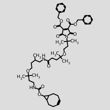 CC(CCOC(C)(C)CCNC(=O)OC1C2CCC#CCCC21)CNC(=O)CCC(C)(C)OCCC(C)(C)N1C(=O)C(C(=O)OCc2ccccc2)=C(C(=O)OCc2ccccc2)C1=O